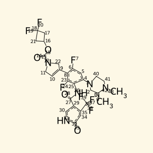 C[C@H]1CN(c2cc(F)c(C3=CCN(C(=O)OC4CC(F)(F)C4)C3)c(F)c2NC(=O)c2c[nH]c(=O)cc2C(F)(F)F)CCN1C